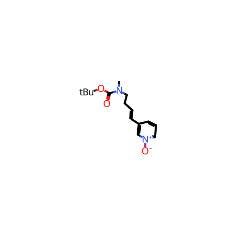 CN(CC/C=C/c1ccc[n+]([O-])c1)C(=O)OC(C)(C)C